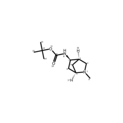 CN1C[C@H]2C[C@@H]1C[C@H]2NC(=O)OC(C)(C)C